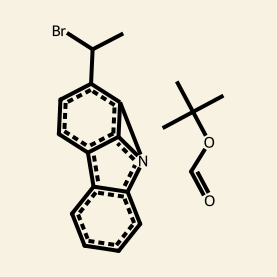 CC(Br)c1ccc2c3ccccc3n3c2c1-3.CC(C)(C)OC=O